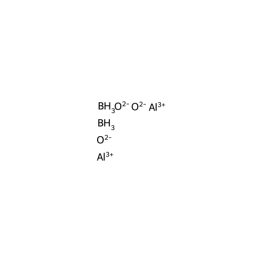 B.B.[Al+3].[Al+3].[O-2].[O-2].[O-2]